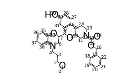 COCCCN1CC(COC2CN(C(=O)OCc3ccccc3)CCC2c2ccc(O)cc2)Oc2ccccc21